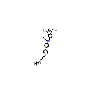 CN(C)c1ccc(/C=C(\C#N)c2ccc(-c3cc[n+](CCCCN=[N+]=[N-])cc3)cc2)cc1